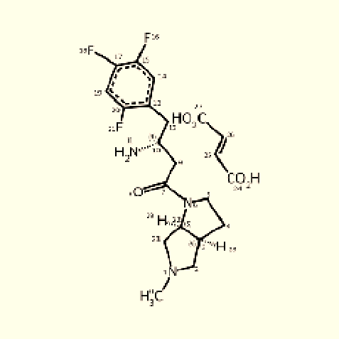 CN1C[C@@H]2CCN(C(=O)C[C@H](N)Cc3cc(F)c(F)cc3F)[C@@H]2C1.O=C(O)C=CC(=O)O